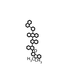 CC1(C)c2ccccc2-c2c1ccc1c2oc2cc(-c3ccc(-c4c5ccccc5c(-c5cccc(-c6cccc7ccccc67)c5)c5ccccc45)c4ccccc34)c3ccccc3c21